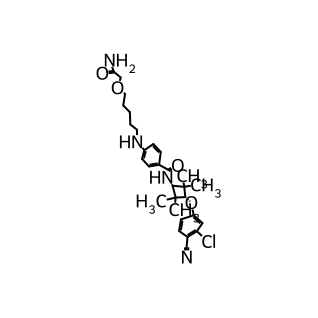 CC1(C)[C@H](NC(=O)c2ccc(NCCCCCOCC(N)=O)cc2)C(C)(C)[C@@H]1Oc1ccc(C#N)c(Cl)c1